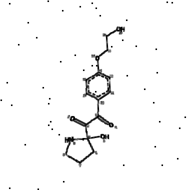 O=C(C(=O)C1(O)CCCN1)c1ccc(OCCO)cc1